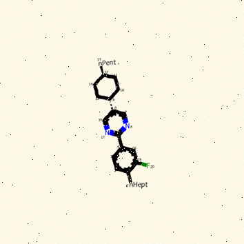 CCCCCCCc1ccc(-c2ncc([C@H]3CC[C@H](CCCCC)CC3)cn2)cc1F